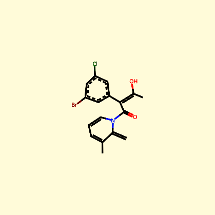 C=C1C(C)=CC=CN1C(=O)/C(=C(\C)O)c1cc(Cl)cc(Br)c1